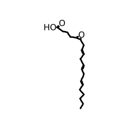 CCCCCC=CCC=CCC=CCC1OC1CCCC(=O)O